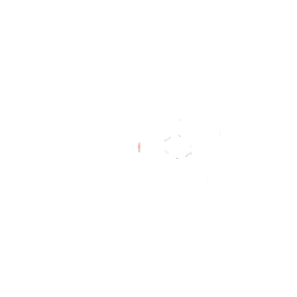 CCOC(=O)Cc1cc(Br)c(O)c(OC)c1